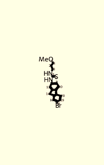 COCCCNC(=S)Nc1ccc2c(c1)Cc1cc(Br)ccc1-2